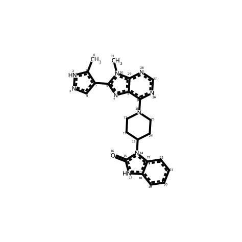 Cc1[nH]ncc1-c1nc2c(N3CCC(n4c(=O)[nH]c5ccccc54)CC3)ncnc2n1C